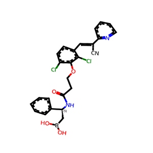 N#CC(=Cc1ccc(Cl)c(OCCC(=O)N[C@@H](CB(O)O)c2ccccc2)c1Cl)c1ccccn1